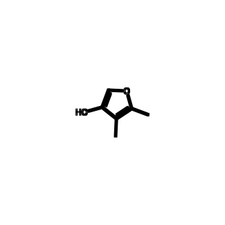 Cc1occ(O)c1C